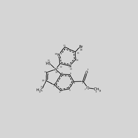 COC(=O)c1ccc2c(c1)[N+](S)(c1ncc(Br)cn1)C=C2C